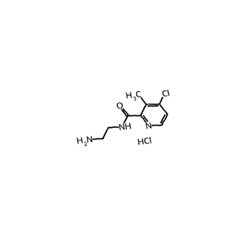 Cc1c(Cl)ccnc1C(=O)NCCN.Cl